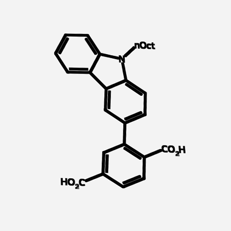 CCCCCCCCn1c2ccccc2c2cc(-c3cc(C(=O)O)ccc3C(=O)O)ccc21